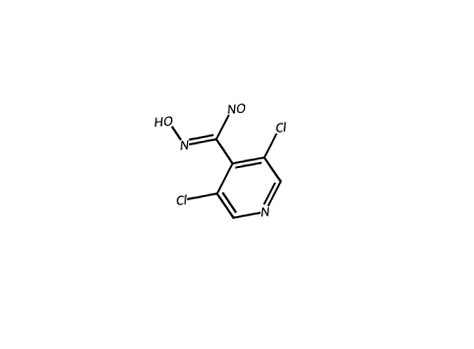 O=NC(=NO)c1c(Cl)cncc1Cl